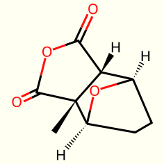 C[C@@]12C(=O)OC(=O)[C@@H]1[C@H]1CC[C@@H]2O1